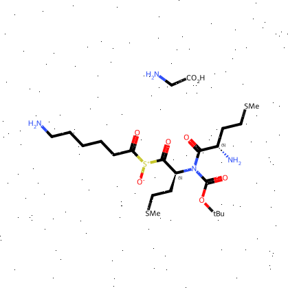 CSCC[C@H](N)C(=O)N(C(=O)OC(C)(C)C)[C@@H](CCSC)C(=O)[S+]([O-])C(=O)CCCCCN.NCC(=O)O